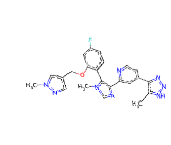 Cc1[nH]nnc1-c1ccnc(-c2ncn(C)c2-c2ccc(F)cc2OCc2cnn(C)c2)c1